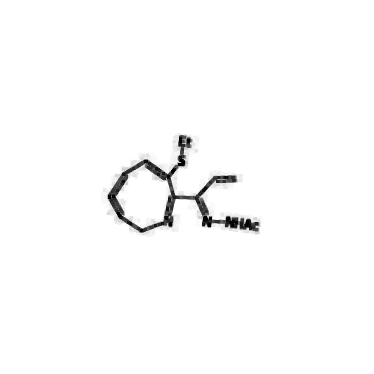 C=CC(=N\NC(C)=O)/C1=N/CC=C=C/C=C\1SCC